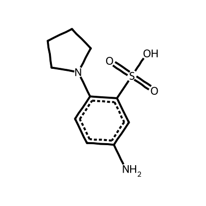 Nc1ccc(N2CCCC2)c(S(=O)(=O)O)c1